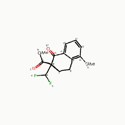 COC(=O)C1(C(F)F)CCc2c(OC)cccc2C1=O